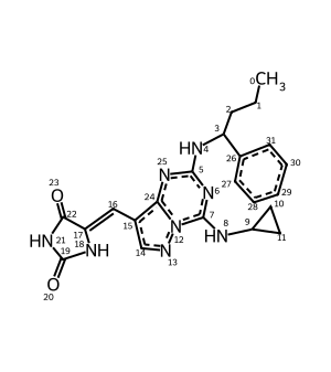 CCCC(Nc1nc(NC2CC2)n2ncc(/C=C3\NC(=O)NC3=O)c2n1)c1ccccc1